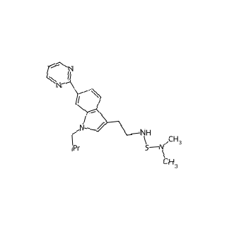 CC(C)Cn1cc(CCNSN(C)C)c2ccc(-c3ncccn3)cc21